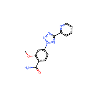 COc1cc(-n2nnc(-c3ccccn3)n2)ccc1C(N)=O